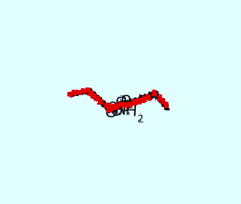 CCCCCCCC/C=C\CCCCCCCCCCCC(=O)OC(=O)C[C@H](N)C(=O)OC(=O)CCCCCCCCCCC/C=C\CCCCCCCC